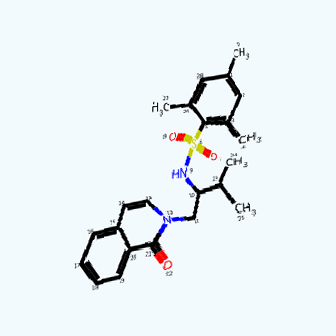 Cc1cc(C)c(S(=O)(=O)NC(Cn2ccc3ccccc3c2=O)C(C)C)c(C)c1